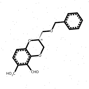 O=Cc1c(C(=O)O)ccc2c1OC[C@@H](COCc1ccccc1)O2